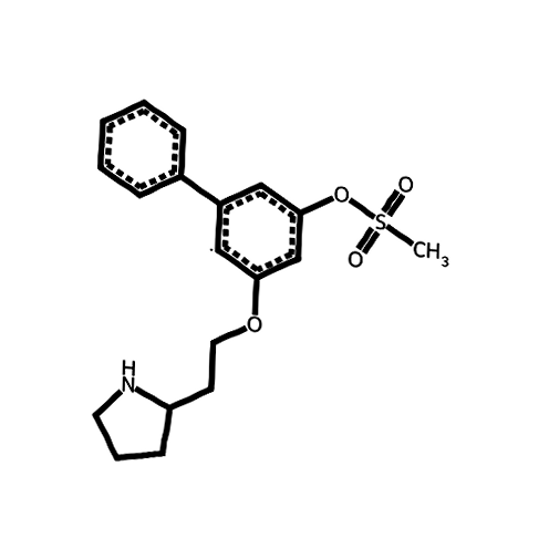 CS(=O)(=O)Oc1cc(OCCC2CCCN2)[c]c(-c2ccccc2)c1